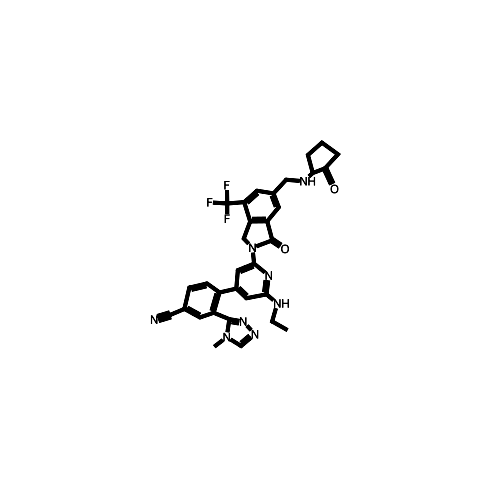 CCNc1cc(-c2ccc(C#N)cc2-c2nncn2C)cc(N2Cc3c(cc(CNC4CCCC4=O)cc3C(F)(F)F)C2=O)n1